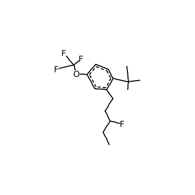 CCC(F)CCc1cc(OC(F)(F)F)ccc1C(C)(C)C